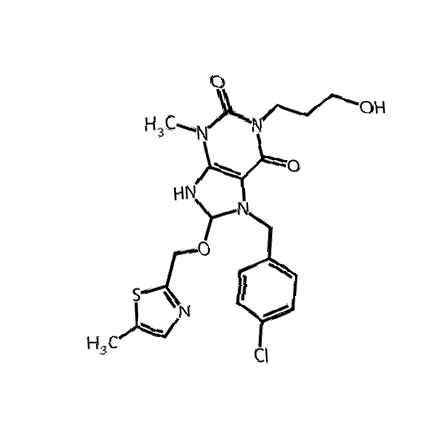 Cc1cnc(COC2Nc3c(c(=O)n(CCCO)c(=O)n3C)N2Cc2ccc(Cl)cc2)s1